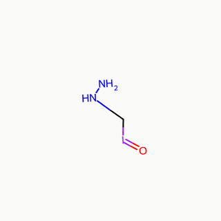 NNCI=O